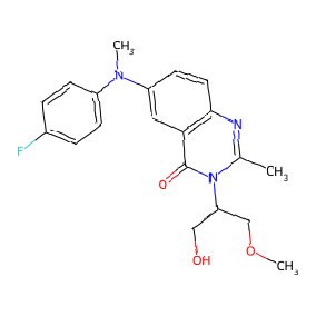 COCC(CO)n1c(C)nc2ccc(N(C)c3ccc(F)cc3)cc2c1=O